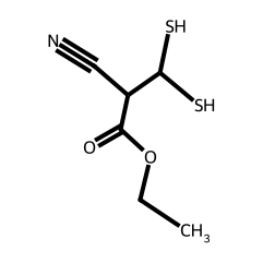 CCOC(=O)C(C#N)C(S)S